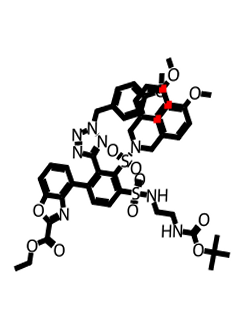 CCOC(=O)c1nc2c(-c3ccc(S(=O)(=O)NCCNC(=O)OC(C)(C)C)c(S(=O)(=O)N(Cc4ccc(OC)cc4)Cc4ccc(OC)cc4)c3-c3nnn(Cc4ccc(OC)cc4)n3)cccc2o1